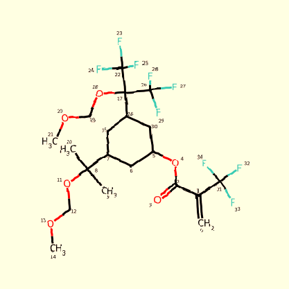 C=C(C(=O)OC1CC(C(C)(C)OCOC)CC(C(OCOC)(C(F)(F)F)C(F)(F)F)C1)C(F)(F)F